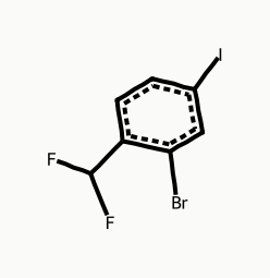 FC(F)c1ccc(I)cc1Br